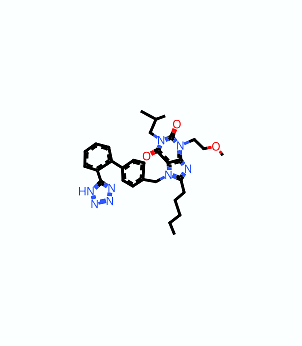 CCCCCc1nc2c(c(=O)n(CC(C)C)c(=O)n2CCOC)n1Cc1ccc(-c2ccccc2-c2nnn[nH]2)cc1